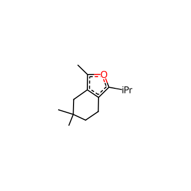 Cc1oc(C(C)C)c2c1CC(C)(C)CC2